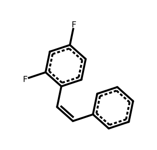 Fc1ccc(/C=C\c2ccccc2)c(F)c1